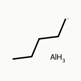 [AlH3].[CH2]CCCC